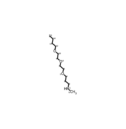 CNCCCOCCOCCOCCCI